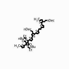 CCCCCCCCCCCCc1cc(C)sc1-c1ccc(/C=C/c2ccc(-c3sc(-c4ccc(C5=C6C(=O)N(CC(CC)CCCC)C(c7ccc(C)s7)=C6C(=O)N5CC(CC)CCCC)s4)cc3CCCCCCCCCCCC)s2)s1